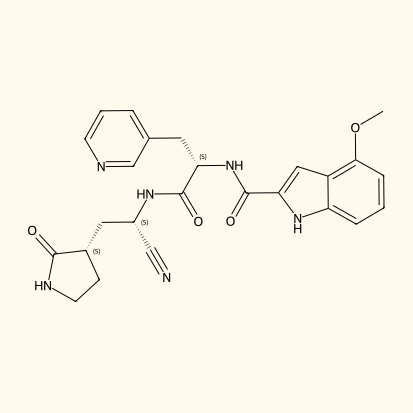 COc1cccc2[nH]c(C(=O)N[C@@H](Cc3cccnc3)C(=O)N[C@H](C#N)C[C@@H]3CCNC3=O)cc12